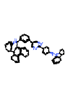 c1cc(-c2cnc(-c3ccc(-n4c5ccccc5c5ccccc54)cc3)nc2)cc(-c2nc3ccccc3c3c4ccccc4c4ccccc4c23)c1